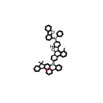 Cc1cccc2c1=C1C3=CC=C(N(c4ccccc4)c4cccc5c4oc4ccccc45)C[C@@H]3OC1C1C=CC(N(c3ccc4c(c3)C(C)(C)c3ccccc3-4)c3ccccc3-c3ccccc3)=CC=21